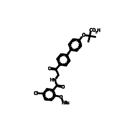 CCCCOc1ccc(Cl)cc1C(=O)NCC(=O)c1ccc(-c2ccc(OC(C)(C)C(=O)O)cc2)cc1